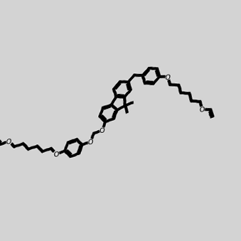 C=COCCCCCCOc1ccc(Cc2ccc3c(c2)C(C)(C)c2cc(OCOc4ccc(OCCCCCCOC=C)cc4)ccc2-3)cc1